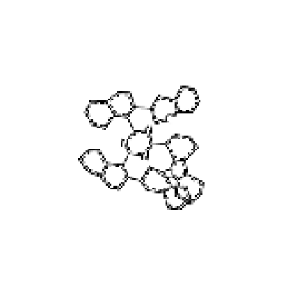 c1ccc2cc(-c3ccc4ccccc4c3-c3nc(-c4c(-c5ccc6ccccc6c5)ccc5ccccc45)nc(-c4cccc5c4oc4ccccc45)n3)ccc2c1